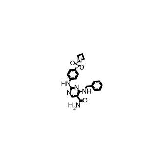 NC(=O)c1cnc(Nc2ccc(S(=O)(=O)N3CCC3)cc2)nc1NCc1ccccc1